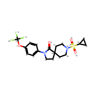 O=C1N(c2ccc(OC(F)(F)F)cc2)CCC12CCN(S(=O)(=O)C1CC1)CC2